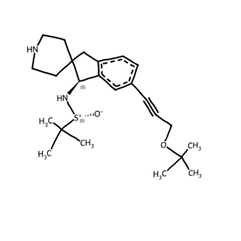 CC(C)(C)OCC#Cc1ccc2c(c1)[C@@H](N[S@+]([O-])C(C)(C)C)C1(CCNCC1)C2